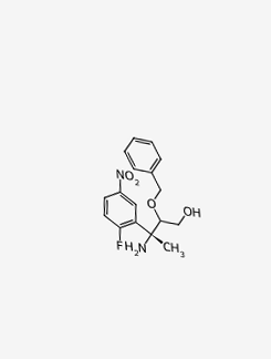 C[C@@](N)(c1cc([N+](=O)[O-])ccc1F)C(CO)OCc1ccccc1